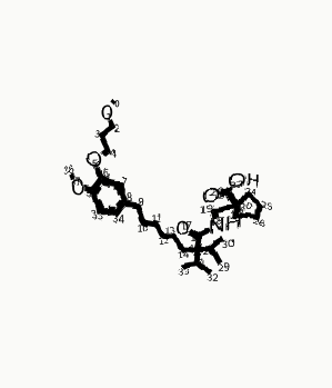 COCCCOc1cc(CCCCCCC(C(=O)NCC2(C(=O)O)CCCC2)(C(C)C)C(C)C)ccc1OC